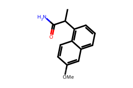 COc1ccc2c(C(C)C(N)=O)cccc2c1